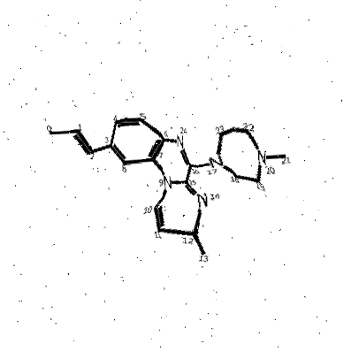 C/C=C/c1ccc2c(c1)N1C=CC(C)N=C1C(N1CCN(C)CC1)=N2